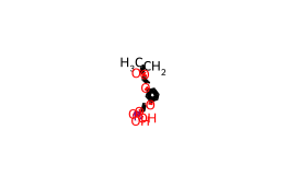 C=C(C)C(=O)OCCOc1cccc(OCCOP(=O)(O)O)c1